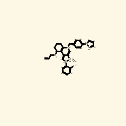 C=CCOC1CCCC2=C1C1=CN(c3ccccc3F)[NH+]([O-])C1=CN2Cc1ccc(-n2cccn2)cc1